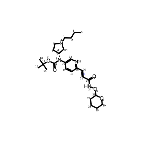 CCCCN1CC[C@@H](N(C(=O)OC(C)(C)C)c2ccc(/C=C/C(=O)NOC3CCCCO3)nc2)C1